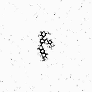 COc1cc(-c2ccc(C3CCc4ccc(CC(C)C(=O)O)cc4O3)cc2CN2CCC(S(C)(=O)=O)C2)c(F)cn1